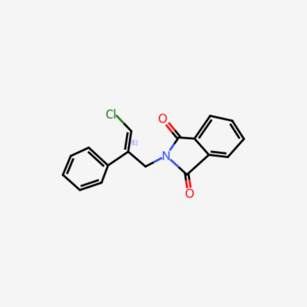 O=C1c2ccccc2C(=O)N1C/C(=C/Cl)c1ccccc1